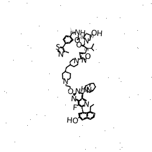 CCc1cccc2cc(O)cc(-c3ncc4c(N5CC6CCC(C5)N6)nc(OCCN5CCC(CC6CCN(c7cc([C@@H](C(=O)N8C[C@H](O)C[C@H]8C(=O)N[C@@H](C)c8ccc(-c9scnc9C)cc8)C(C)C)on7)CC6)CC5)nc4c3F)c12